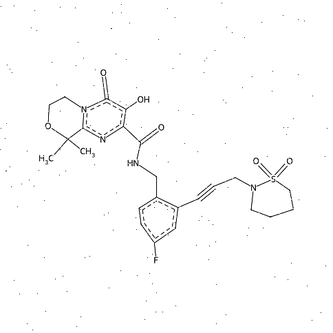 CC1(C)OCCn2c1nc(C(=O)NCc1ccc(F)cc1C#CCN1CCCCS1(=O)=O)c(O)c2=O